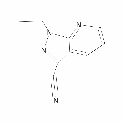 CCn1nc(C#N)c2cccnc21